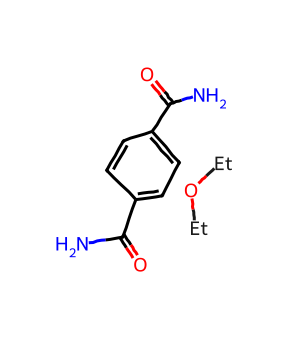 CCOCC.NC(=O)c1ccc(C(N)=O)cc1